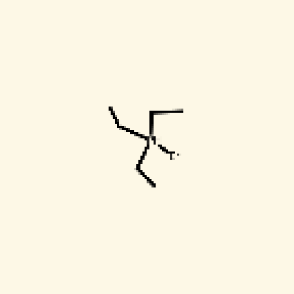 CC[PH](Br)(CC)CC